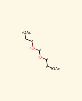 CC(=O)OCCO[CH]OCCOC(C)=O